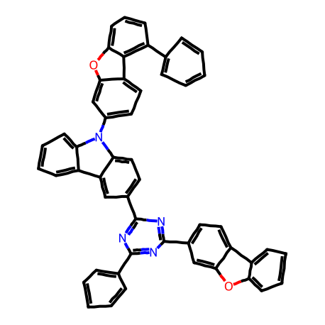 c1ccc(-c2nc(-c3ccc4c(c3)oc3ccccc34)nc(-c3ccc4c(c3)c3ccccc3n4-c3ccc4c(c3)oc3cccc(-c5ccccc5)c34)n2)cc1